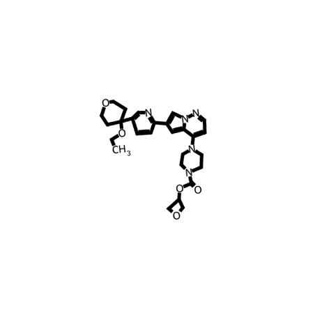 CCOC1(c2ccc(-c3cc4c(N5CCN(C(=O)OC6COC6)CC5)ccnn4c3)nc2)CCOCC1